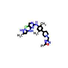 Cc1cc(Nc2nc(Nc3cc(C)c(C4CCN(Cc5noc(C(C)C)n5)CC4)cc3C)ncc2Cl)n[nH]1